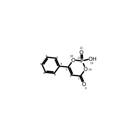 O=C1C=C(c2ccccc2)OP(=O)(O)O1